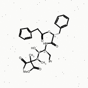 COC(=O)C(C)(C(=O)I)N(C)B(O)[C@H](CC(C)C)NC(=O)[C@@H](Cc1ccccc1)OC(=O)Cc1ccccc1